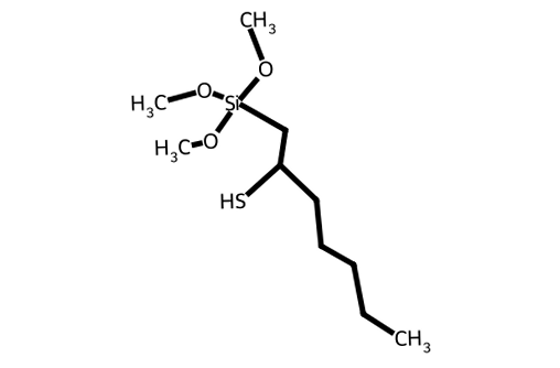 CCCCCC(S)C[Si](OC)(OC)OC